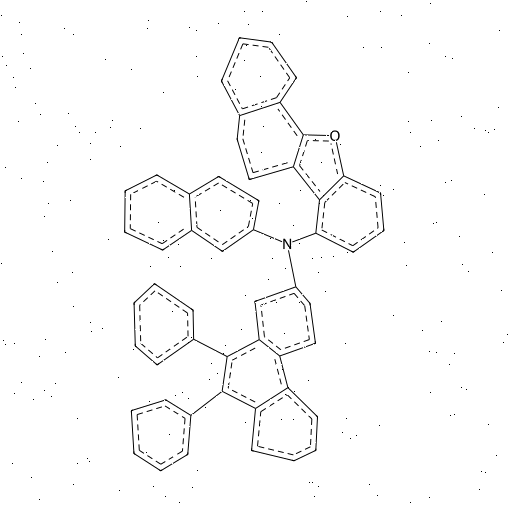 c1ccc(-c2c(-c3ccccc3)c3cc(N(c4ccc5ccccc5c4)c4cccc5oc6c7ccccc7ccc6c45)ccc3c3ccccc23)cc1